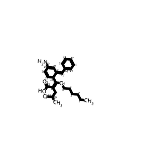 CCCCCCOC(=C(CC(C)Cl)C(=O)O)C1C=CC(N)=CC1=Cc1ccccc1